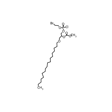 CCCCCCCCCCCCCCCCCCOCC(COP(=O)(Cl)OCCBr)OC(=O)OC